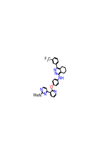 CNc1nccc(-c2cccnc2Oc2ccc(Nc3nnc(-c4cccc(C(F)(F)F)c4)c4c3CCCC4)cc2)n1